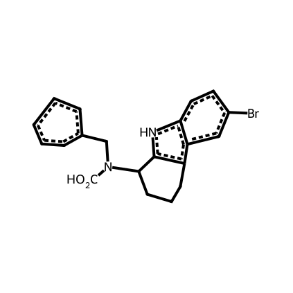 O=C(O)N(Cc1ccccc1)C1CCCc2c1[nH]c1ccc(Br)cc21